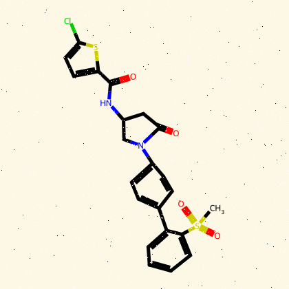 CS(=O)(=O)c1ccccc1-c1ccc(N2CC(NC(=O)c3ccc(Cl)s3)CC2=O)cc1